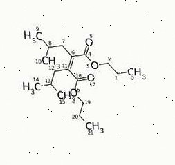 CCCOC(=O)C(CC(C)C)=C(CC(C)C)C(=O)OCCC